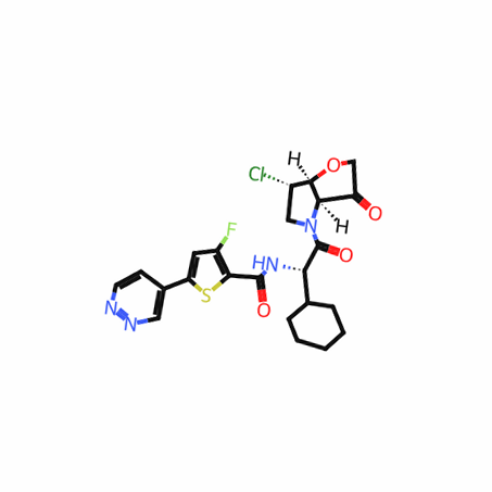 O=C(N[C@H](C(=O)N1C[C@H](Cl)[C@H]2OCC(=O)[C@H]21)C1CCCCC1)c1sc(-c2ccnnc2)cc1F